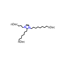 CCCCCCCCCCCCCCCCCCN1C=CN(CCCCCCCCCCCCC)C1CCCCCCCCCCCCCCCC